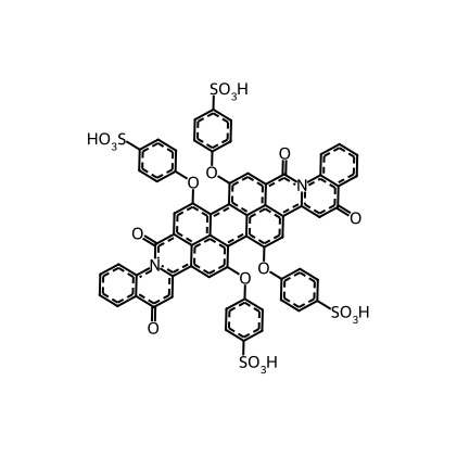 O=c1cc2c3cc(Oc4ccc(S(=O)(=O)O)cc4)c4c5c(Oc6ccc(S(=O)(=O)O)cc6)cc6c7c(cc(Oc8ccc(S(=O)(=O)O)cc8)c(c8c(Oc9ccc(S(=O)(=O)O)cc9)cc(c(=O)n2c2ccccc12)c3c84)c57)c(=O)n1c2ccccc2c(=O)cc61